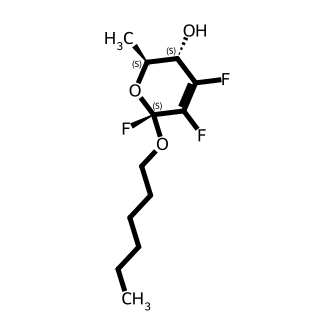 CCCCCCO[C@]1(F)O[C@@H](C)[C@H](O)C(F)=C1F